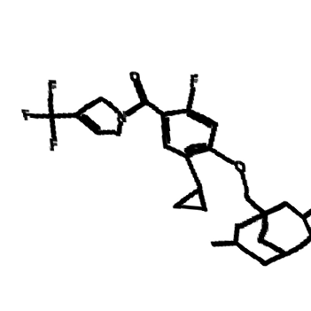 CC1CC2CC(C)CC(COc3cc(F)c(C(=O)N4CC=C(C(F)(F)F)C4)cc3C3CC3)(C1)C2